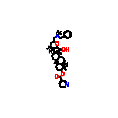 CC(=O)N(Cc1ccccc1)CC1C[C@@H](C)[C@H]2C(O1)[C@H](O)C1(C)C3CC[C@H]4C(C)(C)C(OC(=O)c5cccnc5)CCC45CC35CCC21C